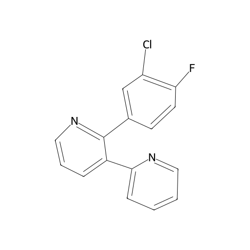 Fc1ccc(-c2ncccc2-c2ccccn2)cc1Cl